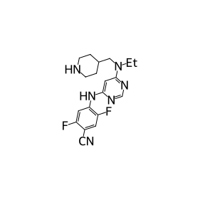 CCN(CC1CCNCC1)c1cc(Nc2cc(F)c(C#N)cc2F)ncn1